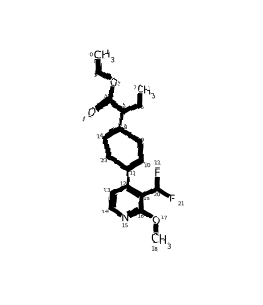 CCOC(=O)C(CC)[C@H]1CC[C@@H](c2ccnc(OC)c2C(F)F)CC1